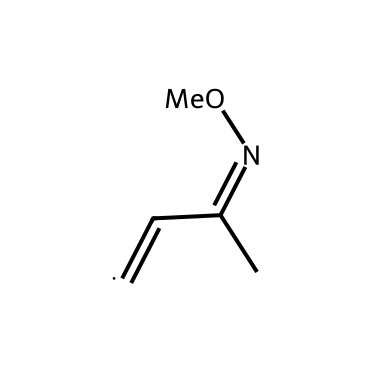 [CH]=CC(C)=NOC